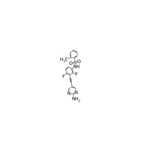 Cc1ccccc1S(=O)(=O)Nc1ccc(F)c(C#Cc2cnc(N)nc2)c1F